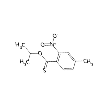 Cc1ccc(C(=S)OC(C)C)c([N+](=O)[O-])c1